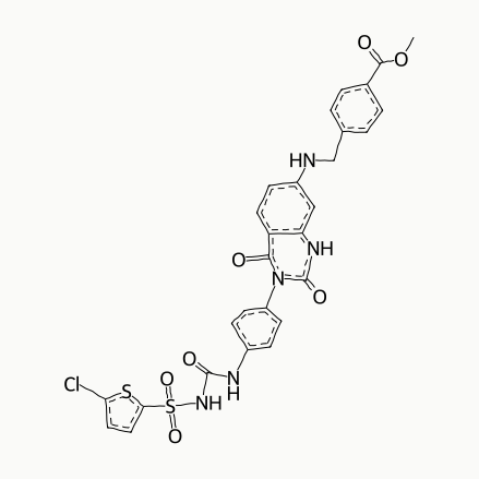 COC(=O)c1ccc(CNc2ccc3c(=O)n(-c4ccc(NC(=O)NS(=O)(=O)c5ccc(Cl)s5)cc4)c(=O)[nH]c3c2)cc1